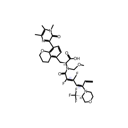 C=C/C(=C\C(F)=C(/F)C(=O)N(COC)[C@@H](Cc1ccc(-c2nc(C)c(C)n(C)c2=O)c2c1CCCO2)C(=O)O)N1CCOC[C@@H]1C(F)(F)F